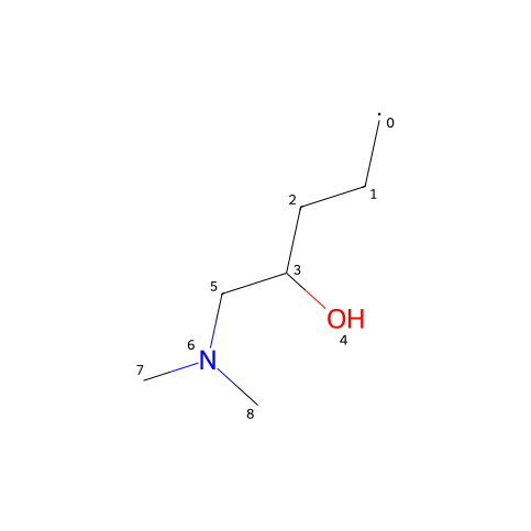 [CH2]CCC(O)CN(C)C